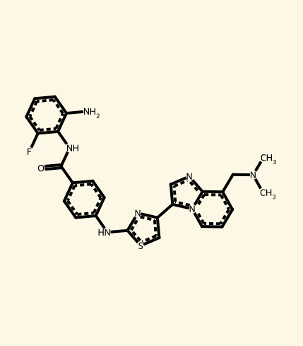 CN(C)Cc1cccn2c(-c3csc(Nc4ccc(C(=O)Nc5c(N)cccc5F)cc4)n3)cnc12